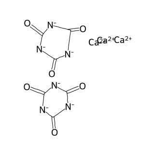 O=c1[n-]c(=O)[n-]c(=O)[n-]1.O=c1[n-]c(=O)[n-]c(=O)[n-]1.[Ca+2].[Ca+2].[Ca+2]